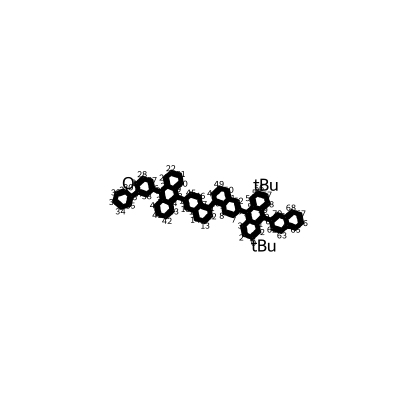 CC(C)(C)c1ccc2c(-c3ccc4c(-c5cccc6cc(-c7c8ccccc8c(-c8ccc9oc%10ccccc%10c9c8)c8ccccc78)ccc56)cccc4c3)c3cc(C(C)(C)C)ccc3c(-c3ccc4ccccc4c3)c2c1